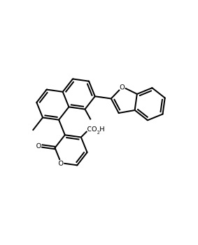 Cc1ccc2ccc(-c3cc4ccccc4o3)c(C)c2c1-c1c(C(=O)O)ccoc1=O